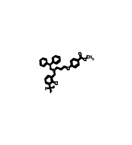 COC(=O)c1ccc(OCCCN(Cc2cccc(C(F)(F)F)c2Cl)CC(c2ccccc2)c2ccccc2)cc1